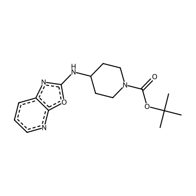 CC(C)(C)OC(=O)N1CCC(Nc2nc3cccnc3o2)CC1